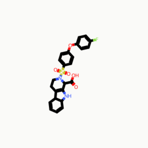 O=C(O)C1C2=C(CCN1S(=O)(=O)c1ccc(Oc3ccc(F)cc3)cc1)C1C=CC=CC1N2